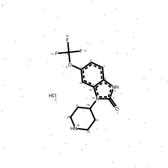 Cl.O=c1[nH]c2ccc(OC(F)(F)F)cc2n1C1CCNCC1